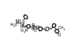 Cc1cc(Cl)ccc1-c1ccccc1CN1CCN(c2ccc(C(=O)NS(=O)(=O)c3ccc(N[C@H](CCN(C)C)CSc4ccccc4)c([N+](=O)[O-])c3)cc2)CC1